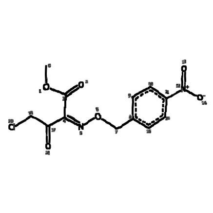 COC(=O)C(=NOCc1ccc([N+](=O)[O-])cc1)C(=O)CCl